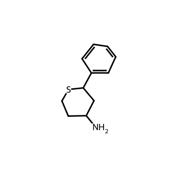 NC1CCSC(c2ccccc2)C1